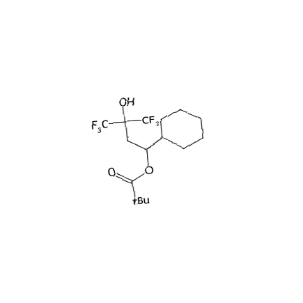 CC(C)(C)C(=O)OC(CC(O)(C(F)(F)F)C(F)(F)F)C1CCCCC1